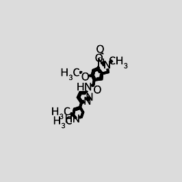 CCOc1cc2c(cc1C(=O)Nc1ccc(C3=CC(C)(C)NCC3)nn1)CN(C)N2OC=O